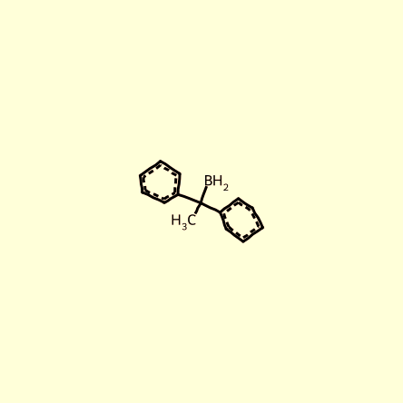 BC(C)(c1ccccc1)c1ccccc1